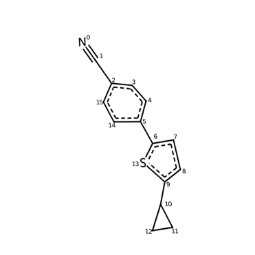 N#Cc1ccc(-c2ccc(C3CC3)s2)cc1